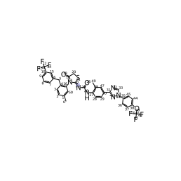 Cc1ccc(Cc2cccc(C(F)(F)F)c2)c(N2C(=O)CS/C2=N\C(=O)Nc2ccc(-c3ncn(-c4ccc(OC(F)(F)F)cc4)n3)cc2C)c1